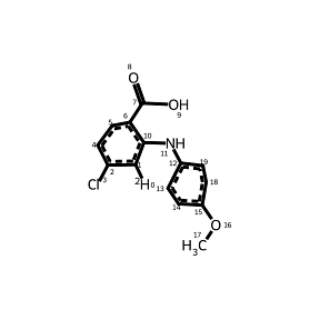 [2H]c1c(Cl)ccc(C(=O)O)c1Nc1ccc(OC)cc1